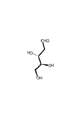 O=CC[C@@H](O)[C@@H](O)CO